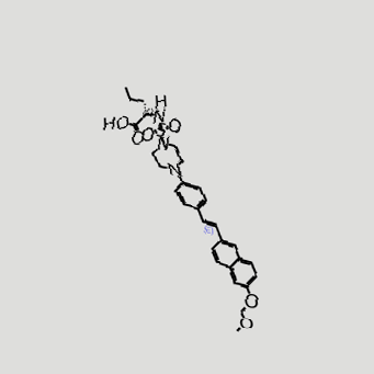 CCC[C@H](NS(=O)(=O)N1CCN(c2ccc(/C=C/c3ccc4cc(OCOC)ccc4c3)cc2)CC1)C(=O)O